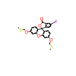 CSCOc1ccc2c(c1)Oc1cc(OCSC)ccc1C21OC(=O)c2cc(I)ccc21